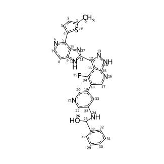 Cc1ccc(-c2nccc3[nH]c(-c4n[nH]c5ncc(-c6cncc(NC(O)c7ccccc7)c6)c(F)c45)nc23)s1